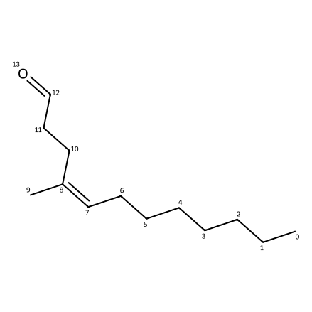 CCCCCCC/C=C(/C)CCC=O